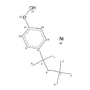 CC(C)(C)CC(C)(C)c1ccc(OO)cc1.[Ni]